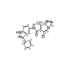 O=C(Nc1ccc2[nH]nc(-c3ccccc3)c2c1)c1c(Cl)cn2cnnc2c1Cl